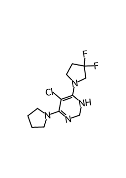 FC1(F)CCN(C2=C(Cl)C(N3CCCC3)=NCN2)C1